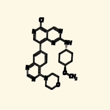 CO[C@H]1CC[C@H](Nc2ncc3c(Cl)ncc(-c4ccc5c(N6CCOCC6)ncnc5c4)c3n2)CC1